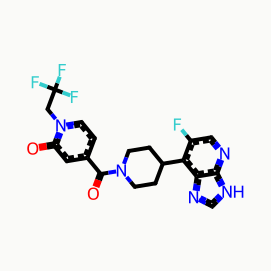 O=C(c1ccn(CC(F)(F)F)c(=O)c1)N1CCC(c2c(F)cnc3[nH]cnc23)CC1